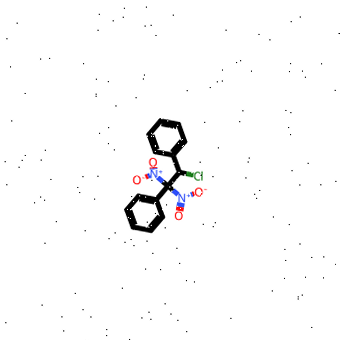 O=[N+]([O-])C(c1ccccc1)(C(Cl)c1ccccc1)[N+](=O)[O-]